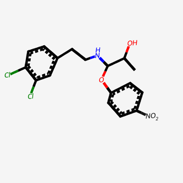 CC(O)C(NCCc1ccc(Cl)c(Cl)c1)Oc1ccc([N+](=O)[O-])cc1